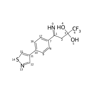 N=C(CC(O)(O)C(F)(F)F)c1ccc(-c2cnsc2)cc1